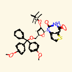 COc1ccc(C(OC[C@H]2[CH][C@@H](O[Si](C)(C)C(C)(C)C)[C@H](n3c(=O)[nH]c(=O)c4sccc43)O2)(c2ccccc2)c2ccc(OC)cc2)cc1